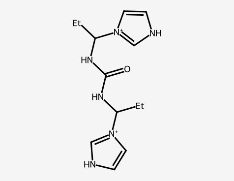 CCC(NC(=O)NC(CC)[n+]1cc[nH]c1)[n+]1cc[nH]c1